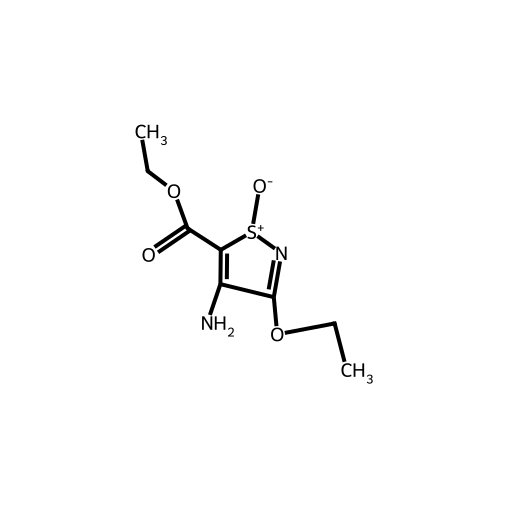 CCOC(=O)c1c(N)c(OCC)n[s+]1[O-]